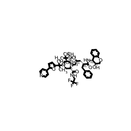 CC(C)(c1ccc(-c2ccncc2)o1)N1CCN(C[C@H](C[C@@H](Cc2ccccc2)C(=O)N[C@H]2c3ccccc3OC[C@H]2O)O[Si](C)(C)C(C)(C)C)[C@H](C(=O)NCC(F)(F)F)C1